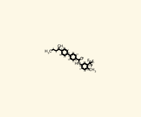 CCCC(C)c1ccc(-c2ccc(C(=O)Nc3ccc(C)c(C(F)(F)F)c3)cc2)cc1